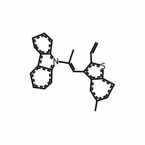 C=Cc1sc2ccc(C)cc2c1/C=C(\C)n1c2ccccc2c2ccccc21